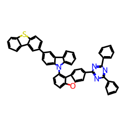 c1ccc(-c2nc(-c3ccccc3)nc(-c3ccc4c(c3)oc3cccc(-n5c6ccccc6c6cc(-c7ccc8sc9ccccc9c8c7)ccc65)c34)n2)cc1